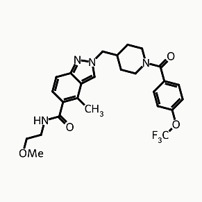 COCCNC(=O)c1ccc2nn(CC3CCN(C(=O)c4ccc(OC(F)(F)F)cc4)CC3)cc2c1C